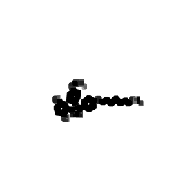 CCCCCCCCOc1ccc(-c2nnc(-c3cc(Cl)ccc3Cl)n2-c2ccc(OC)cc2)cc1